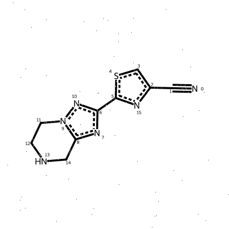 N#Cc1csc(-c2nc3n(n2)CCNC3)n1